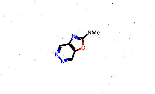 CNc1nc2cnncc2o1